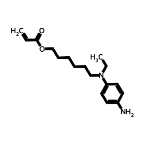 C=CC(=O)OCCCCCCN(CC)c1ccc(N)cc1